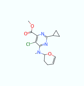 COC(=O)c1nc(C2CC2)nc(N(C)C2CCC=CO2)c1Cl